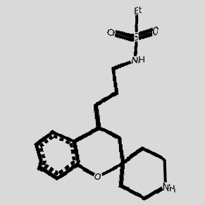 CCS(=O)(=O)NCCCC1CC2(CCNCC2)Oc2ccccc21